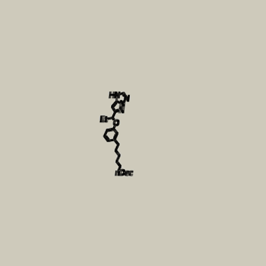 CCCCCCCCCCCCCCCc1cccc(OC(CC)c2cc3[nH]cnn3n2)c1